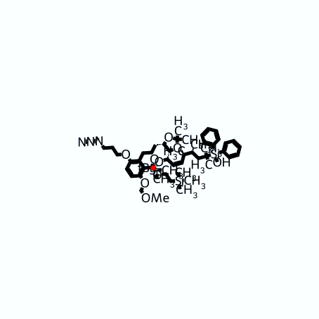 COCOc1ccc(OCCCN=[N+]=[N-])c(CCC[C@@H]2OC(C)(C)O[C@@H]2C(/C=C\[C@@H](C)[C@H](C)CC(C)(C)[Si](O)(c2ccccc2)c2ccccc2)O[Si](C)(C)C(C)(C)C)c1C(=O)OCC[Si](C)(C)C